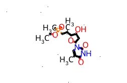 CCOP(C)(=O)C[C@H](C)[C@H]1O[C@@H](n2cc(C)c(=O)[nH]c2=O)CC1O